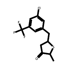 CC1SC(Cc2cc(Cl)cc(C(F)(F)F)c2)CC1=O